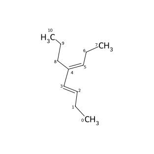 CCC=CC(=CCC)CCC